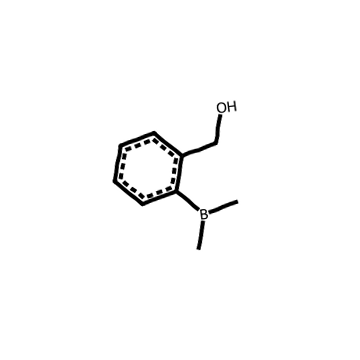 CB(C)c1ccccc1CO